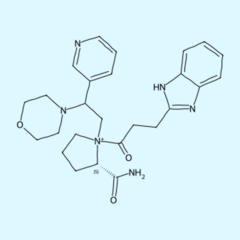 NC(=O)[C@@H]1CCC[N+]1(CC(c1cccnc1)N1CCOCC1)C(=O)CCc1nc2ccccc2[nH]1